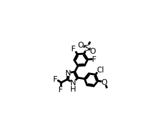 COc1ccc(-c2[nH]c(C(F)F)nc2-c2cc(F)c(S(C)(=O)=O)c(F)c2)cc1Cl